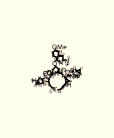 COc1ccc2c(O[C@@H]3C[C@H]4C(=O)N[C@]5(C(=O)NS(=O)(=O)C6(C)CC6)C[C@H]5/C=C\CC[C@H](C)C[C@@H](C)[C@H](N(C(=O)O)[C@H]5CC6C[C@H]6C5)C(=O)N4C3)nc(N(C)C)cc2c1